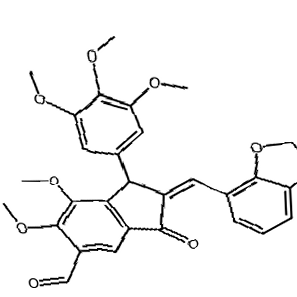 COc1cc(C2/C(=C/c3cccc4c3OCO4)C(=O)c3cc(C=O)c(OC)c(OC)c32)cc(OC)c1OC